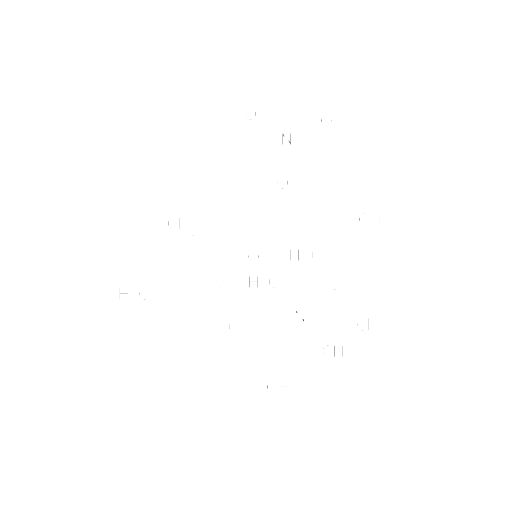 C=C(C)C(=O)OC(C)[N+](C)(C)C(O)(Cl)CC.O=[N+]([O-])[O-]